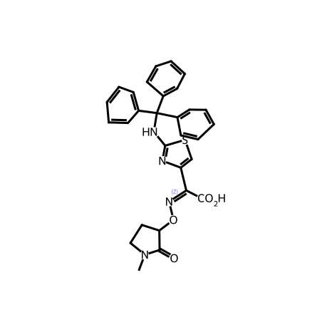 CN1CCC(O/N=C(\C(=O)O)c2csc(NC(c3ccccc3)(c3ccccc3)c3ccccc3)n2)C1=O